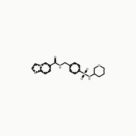 O=C(NCc1ccc(S(=O)(=O)NC2CCCOC2)cc1)c1ccc2nccn2c1